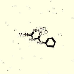 CNC(=N)NC(=O)Nc1ccccc1.Cl.O